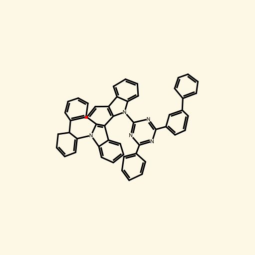 C1=CCC(c2ccccc2)C(n2c3ccccc3c3c2ccc2c4ccccc4n(-c4nc(-c5ccccc5)nc(-c5cccc(-c6ccccc6)c5)n4)c23)=C1